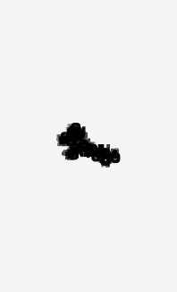 CC(=O)NC1CCCCC1OC(=O)Nc1cc2cc(-c3cnc4c(c3C)N(C(=O)OC(C)(C)C)CCO4)c(F)c(NC(=O)OC(C)(C)C)c2cn1